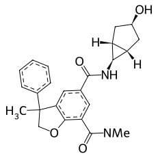 CNC(=O)c1cc(C(=O)N[C@H]2[C@@H]3C[C@@H](O)C[C@@H]32)cc2c1OCC2(C)c1ccccc1